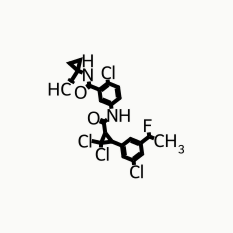 C#CC1(NC(=O)c2cc(NC(=O)C3C(c4cc(Cl)cc(C(C)F)c4)C3(Cl)Cl)ccc2Cl)CC1